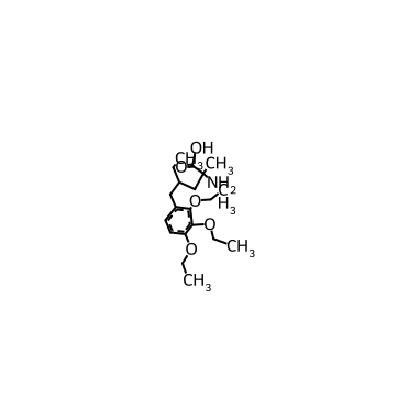 CCOc1ccc(CC(CC)CC(C)(N)C(=O)O)c(OCC)c1OCC